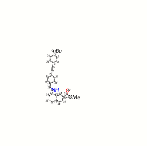 CCCCc1ccc(C#Cc2ccc(CNC3CCCc4ccc(C(=O)OC)cc43)cc2)cc1